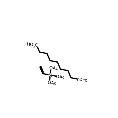 C=C[Si](OC(C)=O)(OC(C)=O)OC(C)=O.CCCCCCCCCCCCCCCCCC(=O)O